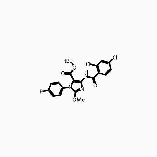 COc1nc(NC(=O)c2ccc(Cl)cc2Cl)c(C(=O)OC(C)(C)C)n1-c1ccc(F)cc1